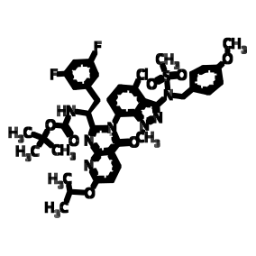 COc1ccc(CN(c2nn(C)c3c(-n4c([C@H](Cc5cc(F)cc(F)c5)NC(=O)OC(C)(C)C)nc5nc(OC(C)C)ccc5c4=O)ccc(Cl)c23)S(C)(=O)=O)cc1